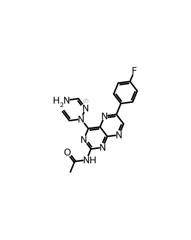 C=CN(/N=C\N)c1nc(NC(C)=O)nc2ncc(-c3ccc(F)cc3)nc12